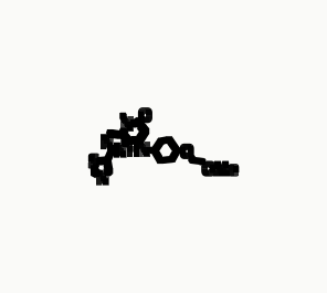 COCCOC1CCC(Nc2cc(=O)n(C)c3cnc(-c4cncs4)nc23)CC1